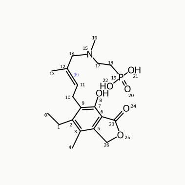 CCc1c(C)c2c(c(O)c1C/C=C(\C)CN(C)CCP(=O)(O)O)C(=O)OC2